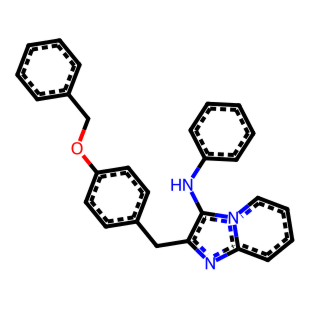 c1ccc(COc2ccc(Cc3nc4ccccn4c3Nc3ccccc3)cc2)cc1